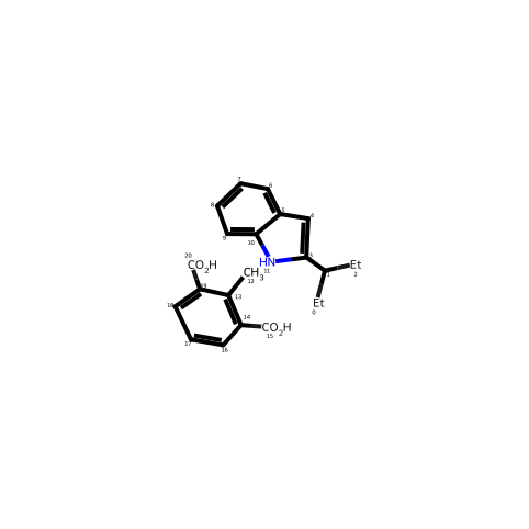 CCC(CC)c1cc2ccccc2[nH]1.Cc1c(C(=O)O)cccc1C(=O)O